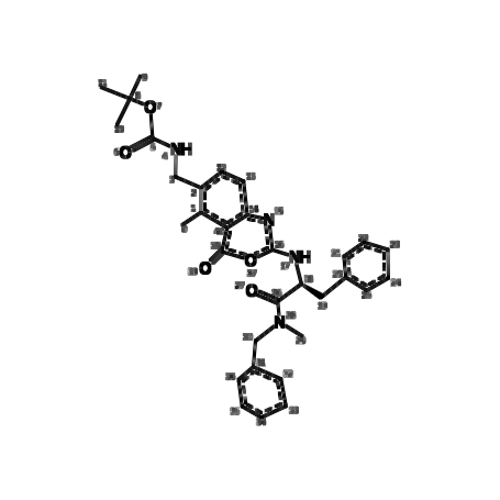 Cc1c(CNC(=O)OC(C)(C)C)ccc2nc(N[C@@H](Cc3ccccc3)C(=O)N(C)Cc3ccccc3)oc(=O)c12